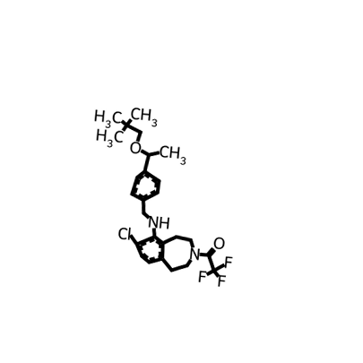 CC(OCC(C)(C)C)c1ccc(CNc2c(Cl)ccc3c2CCN(C(=O)C(F)(F)F)CC3)cc1